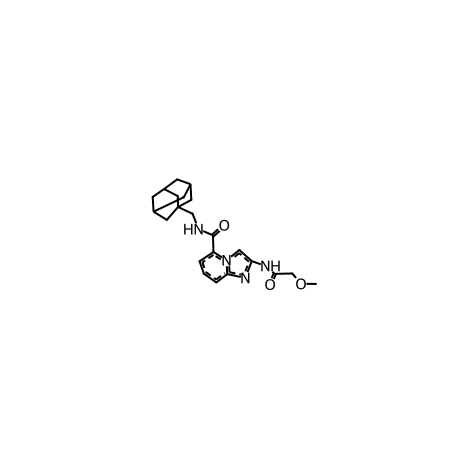 COCC(=O)Nc1cn2c(C(=O)NCC34CC5CC(CC(C5)C3)C4)cccc2n1